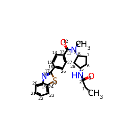 CCC(=O)N[C@H]1CC[C@@H](N(C)C(=O)c2ccc(-c3nc4ccccc4s3)cc2)C1